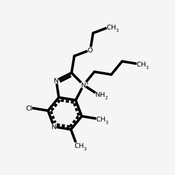 CCCC[N+]1(N)C(COCC)=Nc2c(Cl)nc(C)c(C)c21